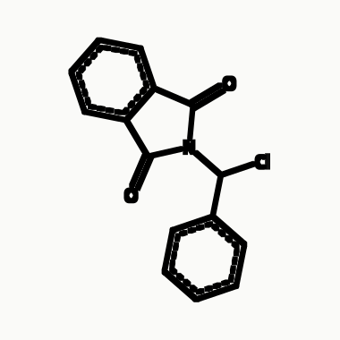 O=C1c2ccccc2C(=O)N1C(Cl)c1ccccc1